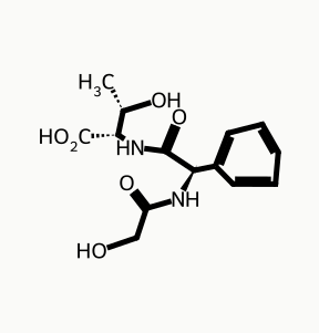 C[C@H](O)[C@H](NC(=O)[C@H](NC(=O)CO)c1ccccc1)C(=O)O